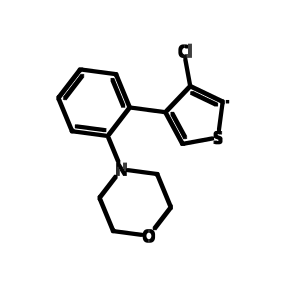 Clc1[c]scc1-c1ccccc1N1CCOCC1